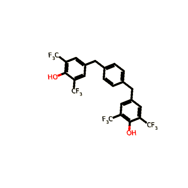 Oc1c(C(F)(F)F)cc(Cc2ccc(Cc3cc(C(F)(F)F)c(O)c(C(F)(F)F)c3)cc2)cc1C(F)(F)F